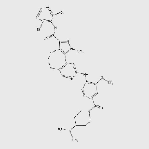 CCc1cccc(CC)c1NC(=O)c1nn(C)c2c1CCCc1cnc(Nc3ccc(C(=O)N4CCC(N(C)C)CC4)cc3OC(F)(F)F)nc1-2